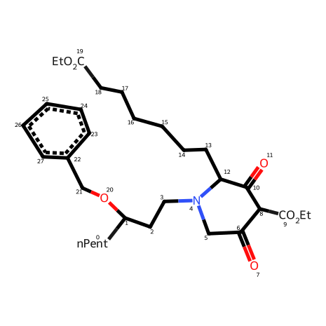 CCCCCC(CCN1CC(=O)C(C(=O)OCC)C(=O)C1CCCCCCC(=O)OCC)OCc1ccccc1